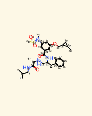 CC(C)CNC(=O)[C@H](C)NC[C@H](Cc1ccccc1)NC(=O)c1cc(OCC2CC2C)cc(N(C)S(C)(=O)=O)c1